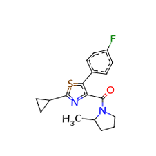 CC1CCCN1C(=O)c1nc(C2CC2)sc1-c1ccc(F)cc1